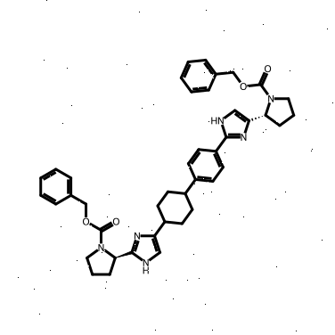 O=C(OCc1ccccc1)N1CCC[C@@H]1c1c[nH]c(-c2ccc(C3CCC(c4c[nH]c([C@H]5CCCN5C(=O)OCc5ccccc5)n4)CC3)cc2)n1